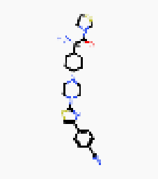 N#Cc1ccc(-c2csc(N3CCN([C@H]4CC[C@H]([C@H](N)C(=O)N5CCSC5)CC4)CC3)n2)cc1